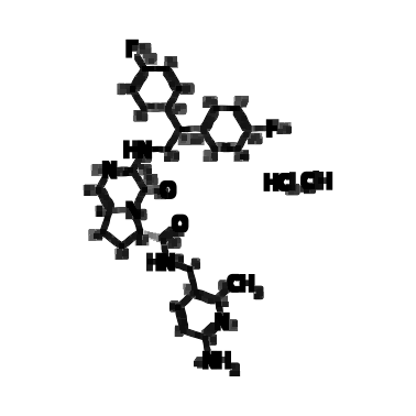 Cc1nc(N)ccc1CNC(=O)[C@@H]1CCc2cnc(NCC(c3ccc(F)cc3)c3ccc(F)cc3)c(=O)n21.Cl.Cl